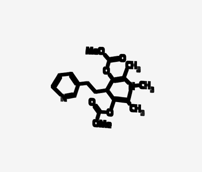 COC(=O)OC1=C(C)N(C)C(C)=C(OC(=O)OC)C1CCc1cccnc1